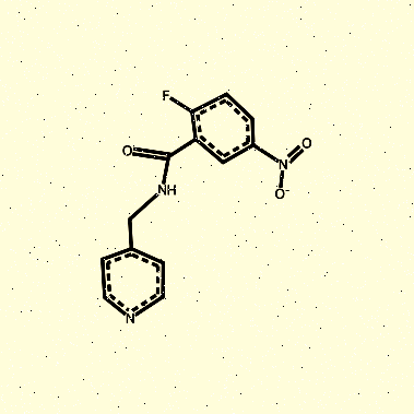 O=C(NCc1ccncc1)c1cc([N+](=O)[O-])ccc1F